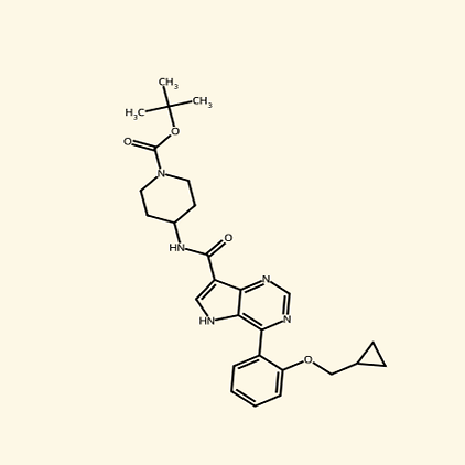 CC(C)(C)OC(=O)N1CCC(NC(=O)c2c[nH]c3c(-c4ccccc4OCC4CC4)ncnc23)CC1